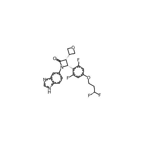 O=C1[C@H](C2COC2)[C@H](c2c(F)cc(OCCC(F)F)cc2F)N1c1ccc2[nH]cnc2c1